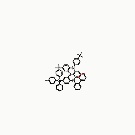 Cc1ccc([Si](c2ccccc2)(c2ccccc2)c2ccc3c(c2)B2c4cc(C(C)(C)C)ccc4N(c4ccc(C(C)(C)C)cc4)c4cc(C)cc(c42)N3c2ccccc2-c2ccccc2)cc1